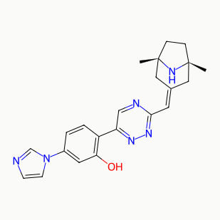 C[C@]12CC[C@](C)(C/C(=C/c3ncc(-c4ccc(-n5ccnc5)cc4O)nn3)C1)N2